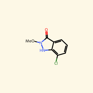 COn1[nH]c2c(Cl)cccc2c1=O